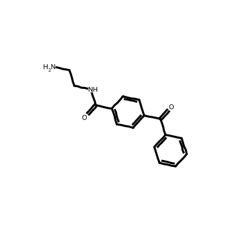 NCCNC(=O)c1ccc(C(=O)c2ccccc2)cc1